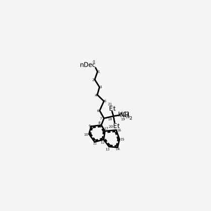 CCCCCCCCCCCCCCCCC(c1cccc2ccccc12)C(N)(CC)CC.Cl